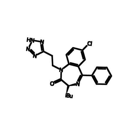 CC[C@H](C)[C@@H]1N=C(c2ccccc2)c2cc(Cl)ccc2N(CCc2nn[nH]n2)C1=O